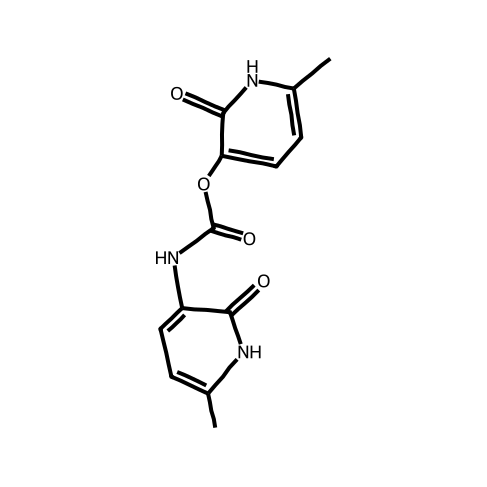 Cc1ccc(NC(=O)Oc2ccc(C)[nH]c2=O)c(=O)[nH]1